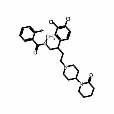 CN(CC(CCN1CCC(N2CCCCC2=O)CC1)c1ccc(Cl)c(Cl)c1)C(=O)c1ccccc1F